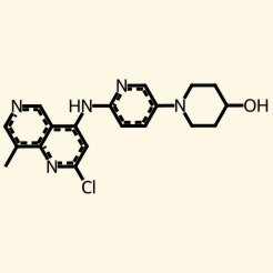 Cc1cncc2c(Nc3ccc(N4CCC(O)CC4)cn3)cc(Cl)nc12